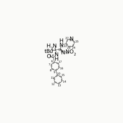 CC(C)(C)C(N)(NC(=O)c1ccc(-c2ccccc2)cc1)C(=N[N+](=O)[O-])Nc1cccnc1